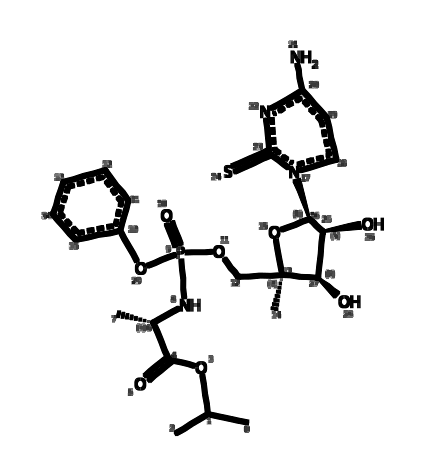 CC(C)OC(=O)[C@H](C)NP(=O)(OC[C@@]1(C)O[C@@H](n2ccc(N)nc2=S)[C@@H](O)[C@H]1O)Oc1ccccc1